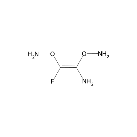 NO/C(N)=C(/F)ON